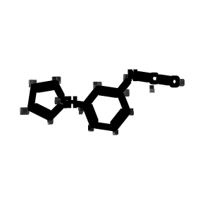 O=C=Nc1cccc([SH]2C=CC=C2)c1